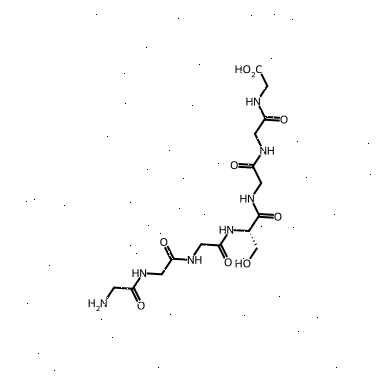 NCC(=O)NCC(=O)NCC(=O)N[C@@H](CO)C(=O)NCC(=O)NCC(=O)NCC(=O)O